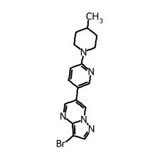 CC1CCN(c2ccc(-c3cnc4c(Br)cnn4c3)cn2)CC1